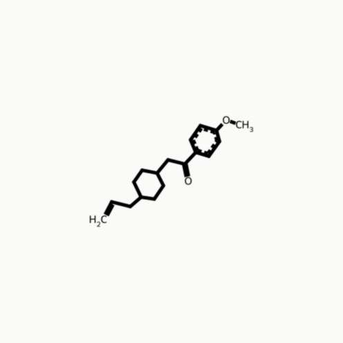 C=CCC1CCC(CC(=O)c2ccc(OC)cc2)CC1